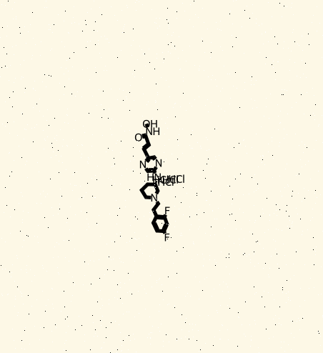 Cl.Cl.Cl.Cl.O=C(C=Cc1cnc(N[C@@H]2CCCN(CCc3ccc(F)cc3F)C2)cn1)NO